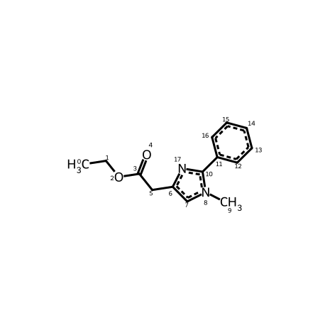 CCOC(=O)Cc1cn(C)c(-c2ccccc2)n1